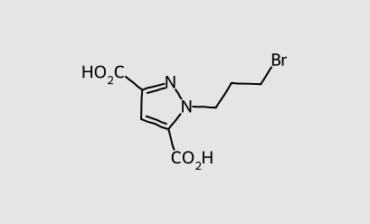 O=C(O)c1cc(C(=O)O)n(CCCBr)n1